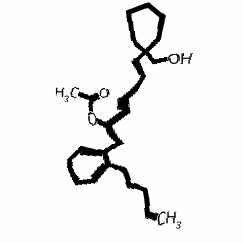 CCCCCc1ccccc1CC(C=CC=CC1(CO)CCCCC1)OC(C)=O